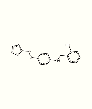 Oc1ccccc1CNc1ccc(SNc2nccs2)cc1